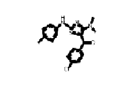 Cc1ccc(Nc2nc(N(C)C)c(C(=O)c3ccc(Cl)cc3)s2)cc1